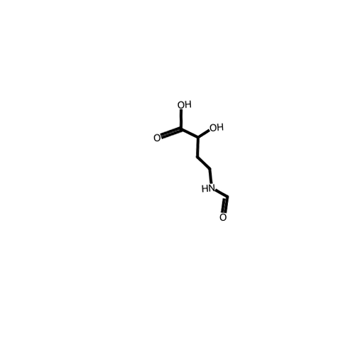 O=CNCCC(O)C(=O)O